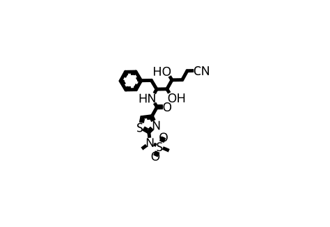 CN(c1nc(C(=O)NC(Cc2ccccc2)C(O)C(O)CCC#N)cs1)S(C)(=O)=O